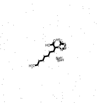 CCCCCCCCC(C(=O)O)n1nnnc1S.[NaH].[NaH]